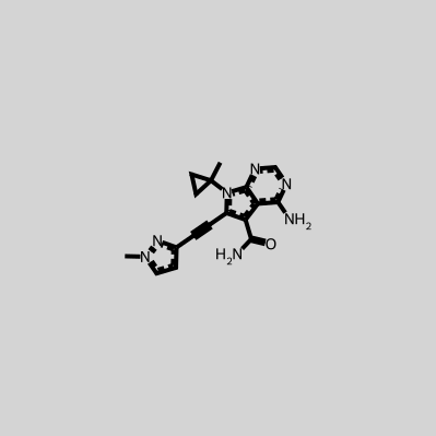 Cn1ccc(C#Cc2c(C(N)=O)c3c(N)ncnc3n2C2(C)CC2)n1